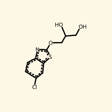 OCC(O)COc1nc2ccc(Cl)cc2s1